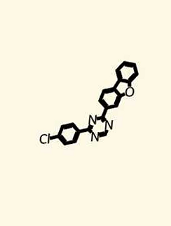 Clc1ccc(-c2ncnc(-c3ccc4c(c3)oc3ccccc34)n2)cc1